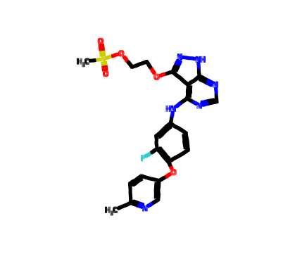 Cc1ccc(Oc2ccc(Nc3ncnc4[nH]nc(OCCOS(C)(=O)=O)c34)cc2F)cn1